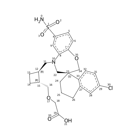 NS(=O)(=O)c1ccc2c(c1)N(C[C@@H]1CC[C@H]1COCC(=O)O)C[C@@]1(CCCc3cc(Cl)ccc31)CO2